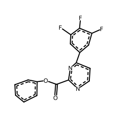 O=C(Oc1ccccc1)c1nccc(-c2cc(F)c(F)c(F)c2)n1